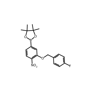 CC1(C)OB(c2ccc([N+](=O)[O-])c(OCc3ccc(F)cc3)c2)OC1(C)C